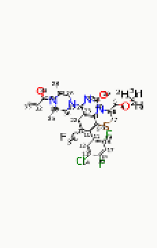 [2H]C([2H])([2H])OC[C@H]1CSc2c(-c3cc(Cl)c(F)cc3F)c(C(F)(F)F)cc3c(N4C[C@@H](C)N(C(=O)C=C)[C@@H](C)C4)nc(=O)n1c23